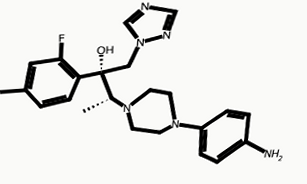 C[C@@H](N1CCN(c2ccc(N)cc2)CC1)[C@](O)(Cn1cncn1)c1ccc(F)cc1F